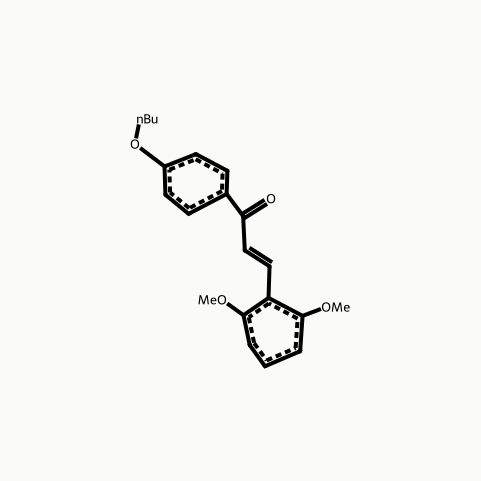 CCCCOc1ccc(C(=O)C=Cc2c(OC)cccc2OC)cc1